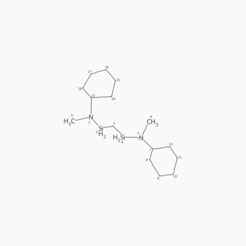 CN([SiH2]C[SiH2]N(C)C1CCCCC1)C1CCCCC1